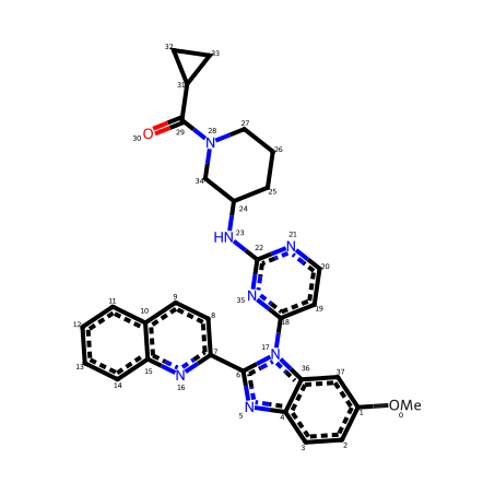 COc1ccc2nc(-c3ccc4ccccc4n3)n(-c3ccnc(NC4CCCN(C(=O)C5CC5)C4)n3)c2c1